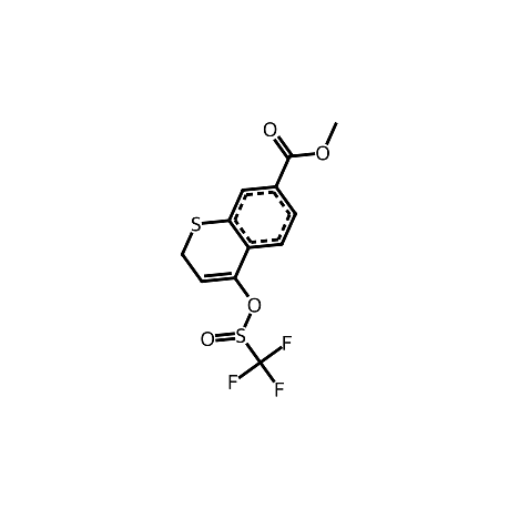 COC(=O)c1ccc2c(c1)SCC=C2OS(=O)C(F)(F)F